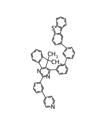 CC1(C)c2ccccc2-c2nc(-c3cccc(-c4ccncc4)c3)nc(-c3cccc(-c4cccc(-c5ccc6sc7ccccc7c6c5)c4)c3)c21